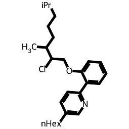 CCCCCCc1ccc(-c2ccccc2OCC(Cl)C(C)CCCC(C)C)nc1